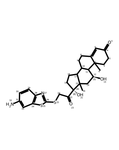 CC12CCC(=O)C=C1CCC1C2[C@@H](O)CC2(C)C1CC[C@]2(O)C(=O)CSc1nc2ccc(N)cc2s1